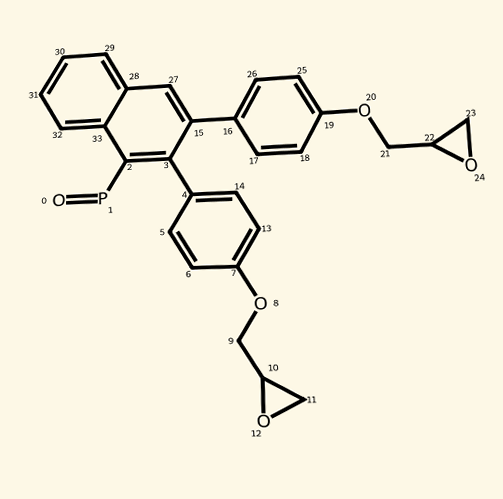 O=Pc1c(-c2ccc(OCC3CO3)cc2)c(-c2ccc(OCC3CO3)cc2)cc2ccccc12